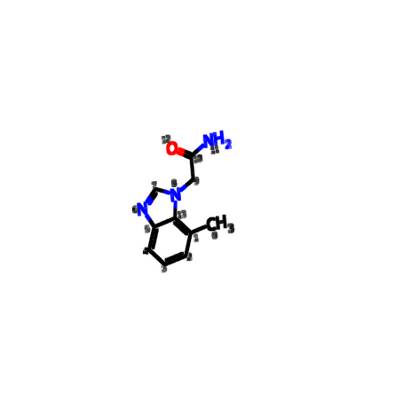 Cc1cccc2ncn(CC(N)=O)c12